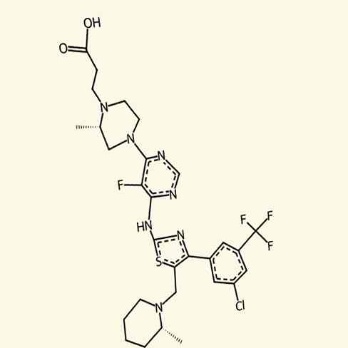 C[C@@H]1CCCCN1Cc1sc(Nc2ncnc(N3CCN(CCC(=O)O)[C@@H](C)C3)c2F)nc1-c1cc(Cl)cc(C(F)(F)F)c1